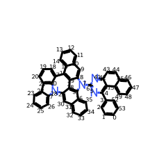 c1ccc(-c2nc(-n3c4cc5ccccc5c5c6cccc7c8ccccc8n(c8cc9ccccc9c3c8c54)c76)nc3ccc4ccccc4c23)cc1